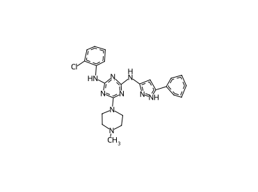 CN1CCN(c2nc(Nc3cc(-c4ccccc4)[nH]n3)nc(Nc3ccccc3Cl)n2)CC1